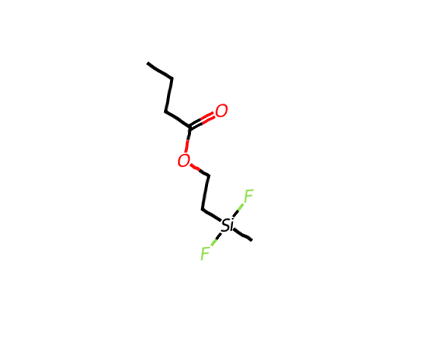 CCCC(=O)OCC[Si](C)(F)F